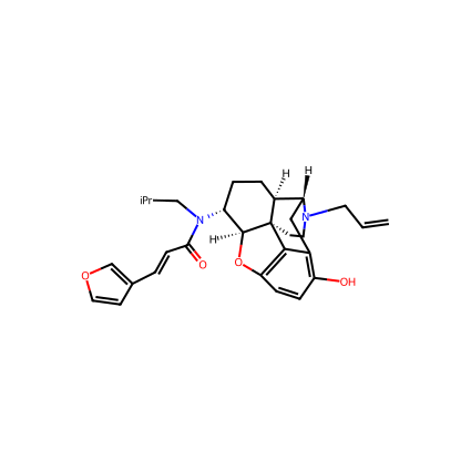 C=CCN1CC[C@@]23c4c5ccc(O)c4C[C@@H]1[C@@H]2CC[C@@H](N(CC(C)C)C(=O)/C=C/c1ccoc1)[C@@H]3O5